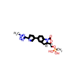 C=P(O)(O)OC[C@@H]1OC(=O)N2c3ccc(-c4ccc(-c5nnn(C)n5)nc4)cc3C[C@@H]12